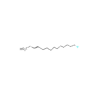 O=C(O)CC=CCCCCCCCCCCF